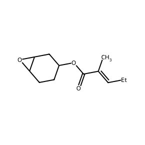 CC/C=C(\C)C(=O)OC1CCC2OC2C1